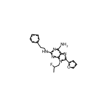 CC(F)Cn1c(-c2ccco2)nc2c(N)nc(NCCc3ccccc3)nc21